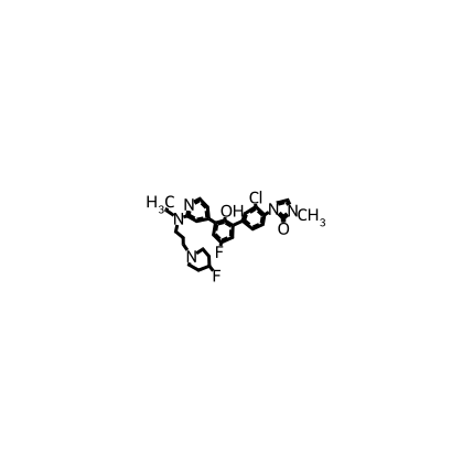 CCN(CCCN1CCC(F)CC1)c1cc(-c2cc(F)cc(-c3ccc(-n4ccn(C)c4=O)c(Cl)c3)c2O)ccn1